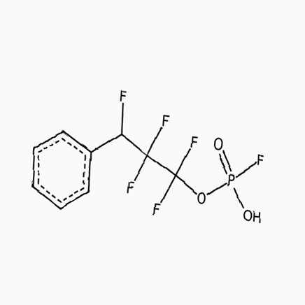 O=P(O)(F)OC(F)(F)C(F)(F)C(F)c1ccccc1